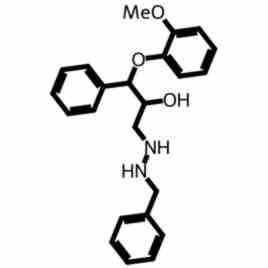 COc1ccccc1OC(c1ccccc1)C(O)CNNCc1ccccc1